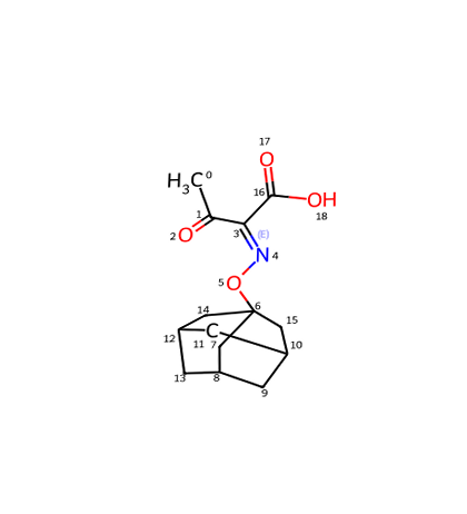 CC(=O)/C(=N\OC12CC3CC(CC(C3)C1)C2)C(=O)O